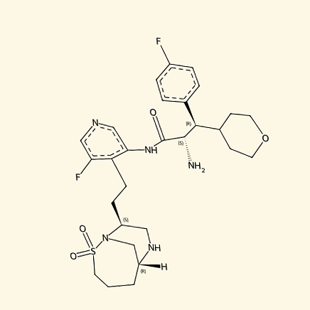 N[C@H](C(=O)Nc1cncc(F)c1CC[C@H]1CN[C@@H]2CCCS(=O)(=O)N1C2)[C@@H](c1ccc(F)cc1)C1CCOCC1